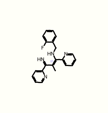 C/C(C(=N)c1ccccn1)=C(/NCc1ccccc1F)c1ccccn1